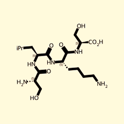 CC(C)C[C@H](NC(=O)[C@@H](N)CO)C(=O)N[C@@H](CCCCN)C(=O)N[C@@H](CO)C(=O)O